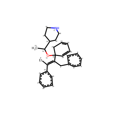 CC/C(=C(/Cc1ccccc1)C1(OC(C)C2CCNCC2)C=CC=CC1)c1ccccc1